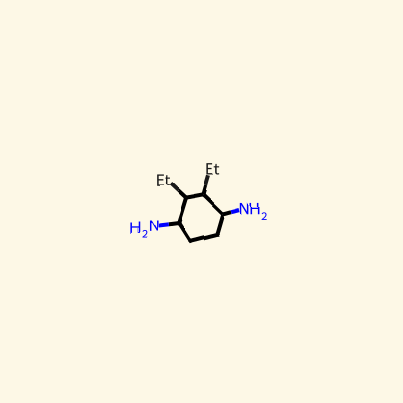 CCC1C(N)CCC(N)C1CC